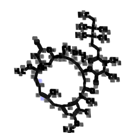 CCC(C)(C)C(C)(C)CCC(=O)N(C)[C@@H](C)C(=O)O[C@H]1CC(=O)N(C)c2cc(cc(OC)c2Cl)C/C(C)=C/C=C/[C@@H](OC)[C@@]2(O)C[C@H](OC(=O)N2)[C@@H](C)[C@H](O)[C@@H]1C